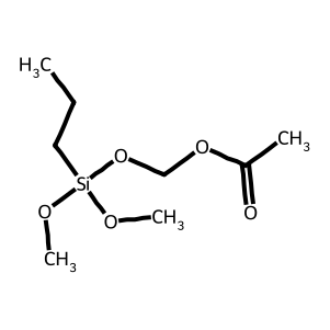 CCC[Si](OC)(OC)OCOC(C)=O